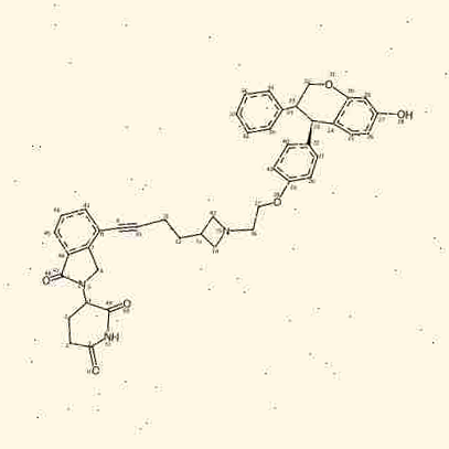 O=C1CCC(N2Cc3c(C#CCCC4CN(CCOc5ccc([C@@H]6c7ccc(O)cc7OCC6c6ccccc6)cc5)C4)cccc3C2=O)C(=O)N1